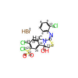 Br.CN1/C(=N\c2ccccc2Cl)SCC1(O)c1ccc(Cl)c(S(=O)(=O)Cl)c1